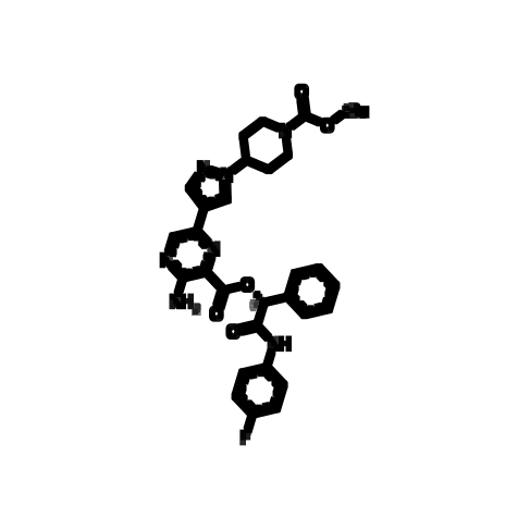 CC(C)(C)OC(=O)N1CCC(n2cc(-c3cnc(N)c(C(=O)O[C@@H](C(=O)Nc4ccc(F)cc4)c4ccccc4)n3)cn2)CC1